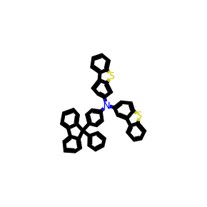 c1ccc(C2(c3ccc(N(c4ccc5c(c4)sc4ccccc45)c4ccc5sc6ccccc6c5c4)cc3)c3ccccc3-c3ccccc32)cc1